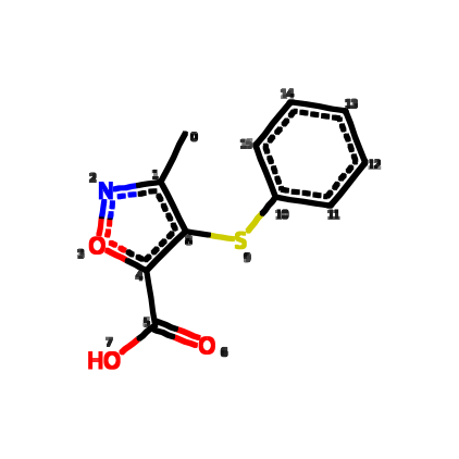 Cc1noc(C(=O)O)c1Sc1ccccc1